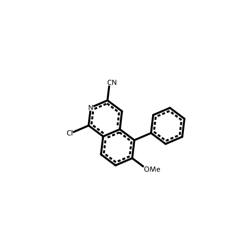 COc1ccc2c(Cl)nc(C#N)cc2c1-c1ccccc1